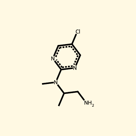 CC(CN)N(C)c1ncc(Cl)cn1